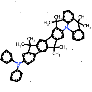 CC1(C)c2cc(N(c3ccccc3)c3ccccc3)ccc2-c2cc3c(cc21)-c1cc2c(cc1C3(C)C)N1c3ccccc3C(C)(C)c3cccc(c31)C2(C)C